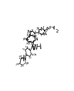 Nc1ncc(-c2cnc3ccc(N[C@H]4CC[C@H](N5CCCC5)CC4)nn23)cn1